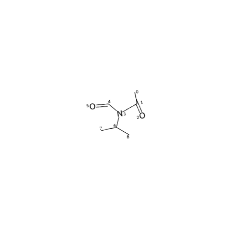 CC(=O)N(C=O)C(C)C